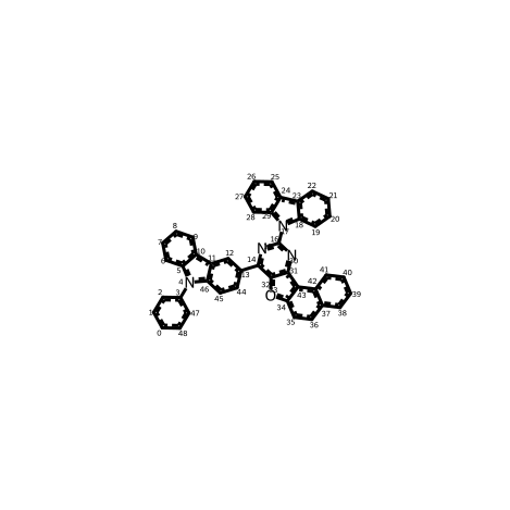 c1ccc(-n2c3ccccc3c3cc(-c4nc(-n5c6ccccc6c6ccccc65)nc5c4oc4ccc6ccccc6c45)ccc32)cc1